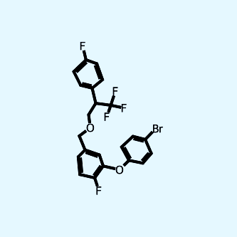 Fc1ccc(C(COCc2ccc(F)c(Oc3ccc(Br)cc3)c2)C(F)(F)F)cc1